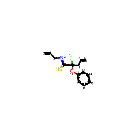 C=CCN=C(S)C(Cl)(CC=C)Oc1ccccc1